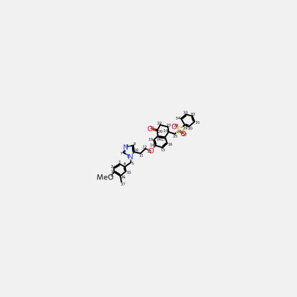 COc1ccc(Cn2cncc2CCOc2ccc3c(c2)C(=O)CCC3CS(=O)(=O)c2ccccc2)cc1C